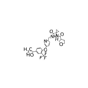 CC(O)c1ccc(Oc2ccc(CNC(=O)C3(NC(=O)C4CCOC4)CC3)nc2)c(C(F)(F)F)c1